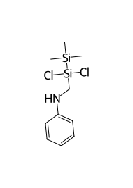 C[Si](C)(C)[Si](Cl)(Cl)CNc1ccccc1